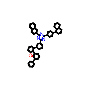 C1=CC(c2cccc3oc4c(-c5ccccc5)cccc4c23)CC(c2nc(-c3ccc(-c4cccc5ccccc45)cc3)nc(-c3ccc4ccccc4c3)n2)=C1